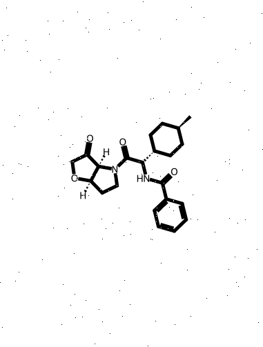 C[C@H]1CC[C@H](C(NC(=O)c2ccccc2)C(=O)N2CC[C@H]3OCC(=O)[C@H]32)CC1